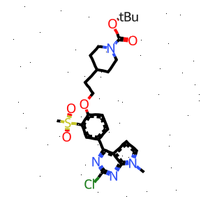 Cn1ccc2c(-c3ccc(OCCC4CCN(C(=O)OC(C)(C)C)CC4)c(S(C)(=O)=O)c3)nc(Cl)nc21